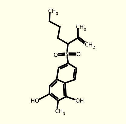 C=C(C)C(CCCC)S(=O)(=O)c1ccc2c(O)c(C)c(O)cc2c1